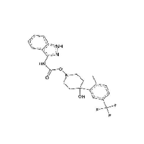 Cc1ccc(C(F)(F)F)cc1C1(O)CCN(OC(=O)Nc2n[nH]c3ccccc23)CC1